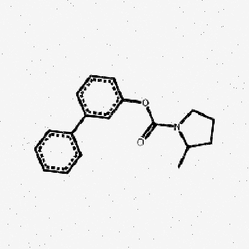 CC1CCCN1C(=O)Oc1cccc(-c2ccccc2)c1